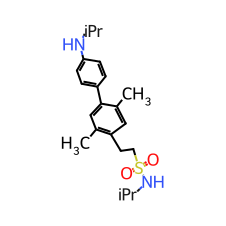 Cc1cc(-c2ccc(NC(C)C)cc2)c(C)cc1CCS(=O)(=O)NC(C)C